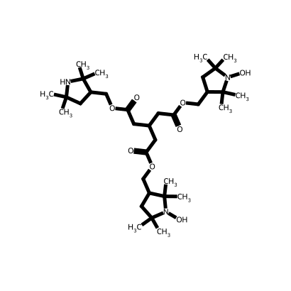 CC1(C)CC(COC(=O)CC(CC(=O)OCC2CC(C)(C)N(O)C2(C)C)CC(=O)OCC2CC(C)(C)N(O)C2(C)C)C(C)(C)N1